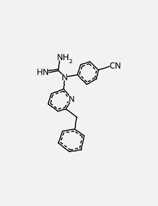 N#Cc1ccc(N(C(=N)N)c2cccc(Cc3ccccc3)n2)cc1